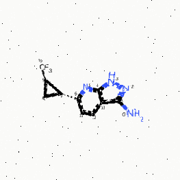 Nc1n[nH]c2nc([C@@H]3C[C@H]3C(F)(F)F)ccc12